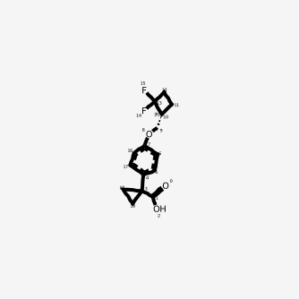 O=C(O)C1(c2ccc(OC[C@H]3CCC3(F)F)cc2)CC1